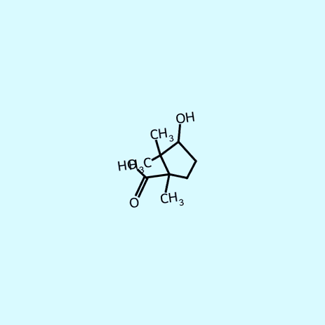 CC1(C(=O)O)CCC(O)C1(C)C